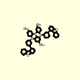 CC(C)(C)c1ccc2c(c1)B1c3cc(C(C)(C)C)ccc3N(c3cccc(-c4cccc5oc6ccccc6c45)c3)c3cc(C(C)(C)C)cc(c31)N2c1cccc(-c2cccc3oc4ccccc4c23)c1